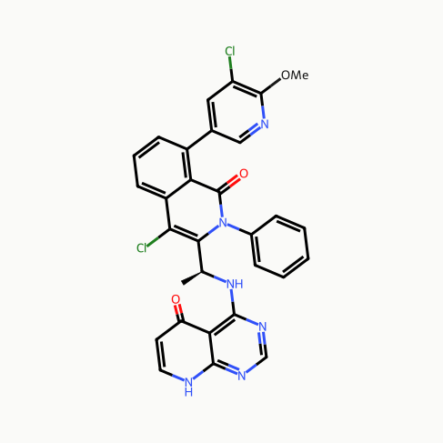 COc1ncc(-c2cccc3c(Cl)c([C@H](C)Nc4ncnc5[nH]ccc(=O)c45)n(-c4ccccc4)c(=O)c23)cc1Cl